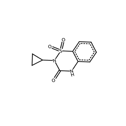 O=C1Nc2ccccc2S(=O)(=O)N1C1CC1